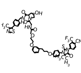 Cc1ncsc1-c1ccc(CNC(=O)C2C[C@H](O)CN2C(=O)CNC(=O)COCCOc2cccc(CCCOc3ccc(N4C(=S)N(c5ccc(C#N)c(C(F)(F)F)c5)C(=O)C4(C)C)cc3)c2)cc1